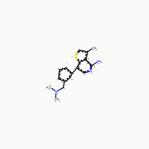 Cc1csc2c(-c3cccc(CN(C)C)c3)cnc(N)c12